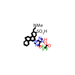 CNCCC1C=c2c(ccc3c4c(ccc23)CC=CC=4)CC1S(=O)(=O)O.O=C(O)C(F)(F)F.O=C1N=CN=C2N=CN=C12